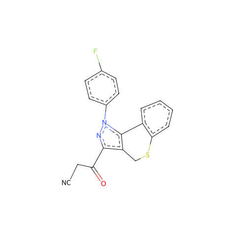 N#CCC(=O)c1nn(-c2ccc(F)cc2)c2c1CSc1ccccc1-2